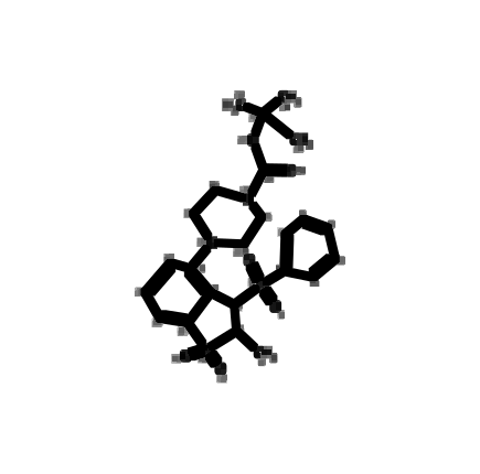 CC1C(S(=O)(=O)c2ccccc2)c2c(N3CCN(C(=O)OC(C)(C)C)CC3)cccc2S1(=O)=O